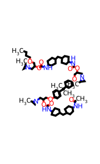 CCCCOCC(CN1CC1C)OC(=O)NC1CCC(CC2CCC(NC(=O)OC(COc3ccc(C(C)(C)c4ccc(OCC(CN5CC5C)OC(=O)NC5CCC(CC6CCC(NC(C)=O)CC6)CC5)cc4)cc3)CN3CC3C)CC2)CC1